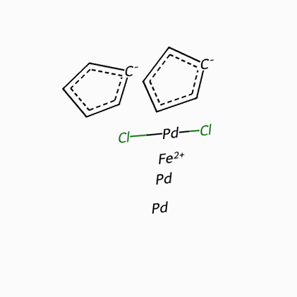 [Cl][Pd][Cl].[Fe+2].[Pd].[Pd].c1cc[cH-]c1.c1cc[cH-]c1